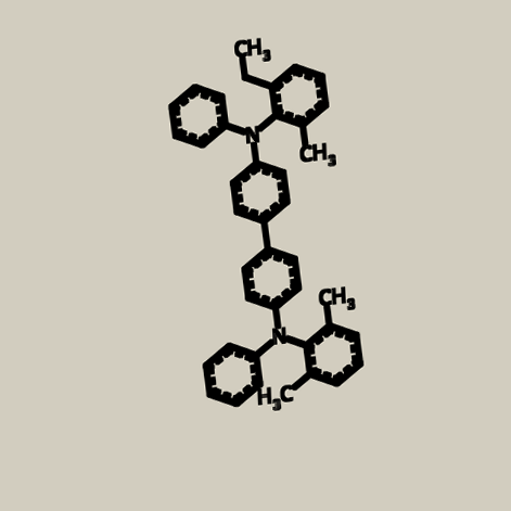 CCc1cccc(C)c1N(c1ccccc1)c1ccc(-c2ccc(N(c3ccccc3)c3c(C)cccc3C)cc2)cc1